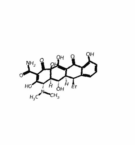 CC[C@@H]1c2cccc(O)c2C(=O)C2=C(O)[C@@]3(O)C(=O)C(C(N)=O)=C(O)[C@@H](N(C)C)[C@@H]3[C@@H](O)[C@@H]21